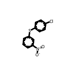 O=[N+]([O-])c1cccc(Sc2ccc(Cl)cc2)c1